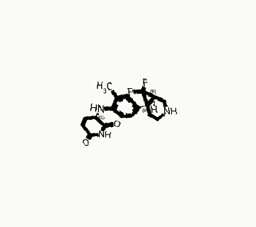 Cc1cc([C@@]23CCNC[C@@H]2C3(F)F)ccc1N[C@H]1CCC(=O)NC1=O